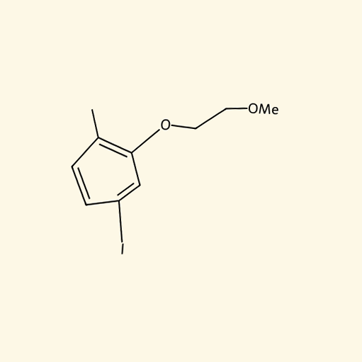 COCCOc1cc(I)ccc1C